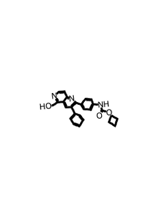 O=C(Nc1ccc(-c2nc3ccnc(CO)c3cc2-c2ccccc2)cc1)OC1CCC1